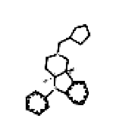 c1ccc(N2c3ccccc3[C@H]3CN(CC4CCCC4)CC[C@@H]32)cc1